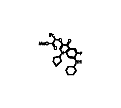 COC(=O)C(Oc1cn(C2CCCC2)c2cc(NC3CCCCC3)c(F)cc2c1=O)C(C)C